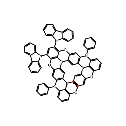 c1ccc(N2c3cc4c(cc3B3c5ccccc5Oc5cccc2c53)B2c3cc5c(cc3Oc3c(-n6c7ccccc7c7ccccc76)cc(-n6c7ccccc7c7ccccc76)c(c32)O4)N(c2ccccc2)c2cccc3c2B5c2ccccc2O3)cc1